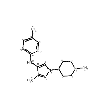 Cc1nn(C2CCN(C)CC2)cc1Nc1ncc(C(F)(F)F)cn1